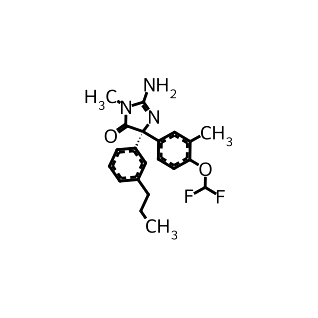 CCCc1cccc([C@@]2(c3ccc(OC(F)F)c(C)c3)N=C(N)N(C)C2=O)c1